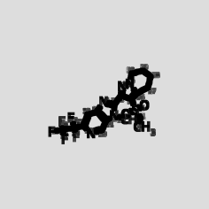 CCS(=O)(=O)c1c(-c2nc3cc(C(F)(F)C(F)(F)F)ncc3n2C)nn2c1CCCC2